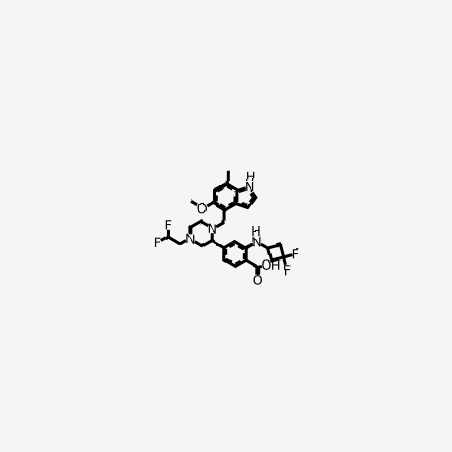 COc1cc(C)c2[nH]ccc2c1CN1CCN(CC(F)F)CC1c1ccc(C(=O)O)c(NC2CC(F)(F)C2)c1